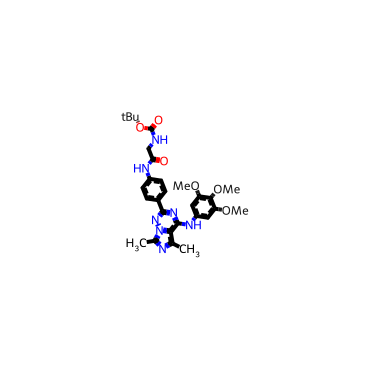 COc1cc(Nc2nc(-c3ccc(NC(=O)CNC(=O)OC(C)(C)C)cc3)nn3c(C)nc(C)c23)cc(OC)c1OC